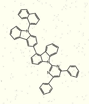 c1ccc(-c2cc(-c3ccccc3)nc(-n3c4ccccc4c4c(-c5ccc6c(c5)c5ccccc5n6-c5cccc6ccccc56)cccc43)n2)cc1